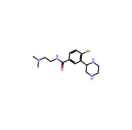 CN(C)CCNC(=O)c1ccc(Br)c(C2CNCCN2)c1